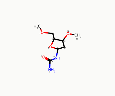 COCC1OC(NC(N)=O)CC1OC